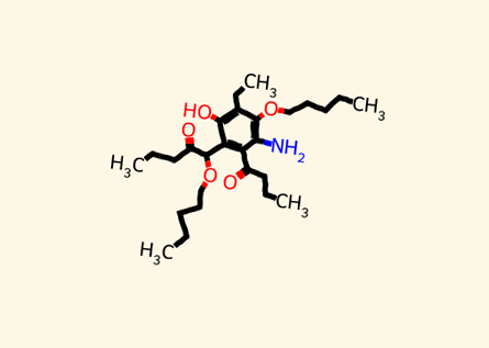 CCCCCOc1c(N)c(C(=O)CCC)c(C(OCCCCC)C(=O)CCC)c(O)c1CC